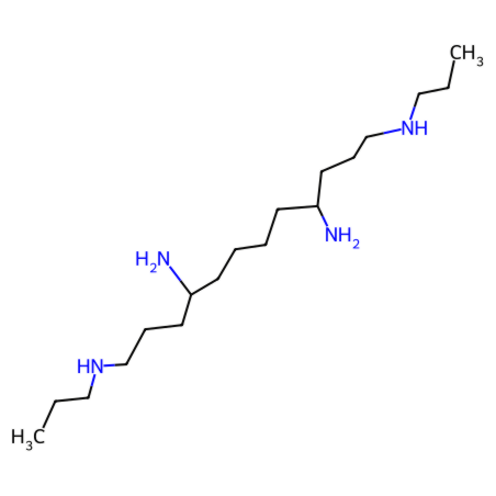 CCCNCCCC(N)CCCCC(N)CCCNCCC